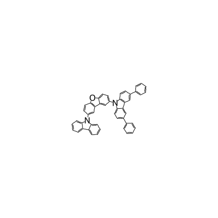 c1ccc(-c2ccc3c(c2)c2cc(-c4ccccc4)ccc2n3-c2ccc3oc4ccc(-n5c6ccccc6c6ccccc65)cc4c3c2)cc1